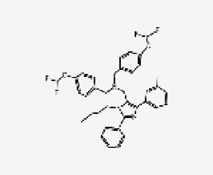 CCCCn1c(-c2ccccc2)nc(-c2cccc(C)c2)c1CN(Cc1ccc(OC(F)F)cc1)Cc1ccc(OC(F)F)cc1